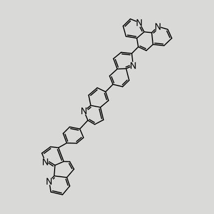 c1cnc2c(c1)ccc1c(-c3ccc(-c4ccc5cc(-c6ccc7nc(-c8cc9cccnc9c9ncccc89)ccc7c6)ccc5n4)cc3)ccnc12